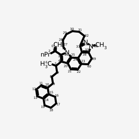 C=C(CCC)c1c(C(C)CCCc2cccc3c2CCCC3)c2ccc3c4c2n1CCCCCCc1nn(C)c(c1-4)CC3